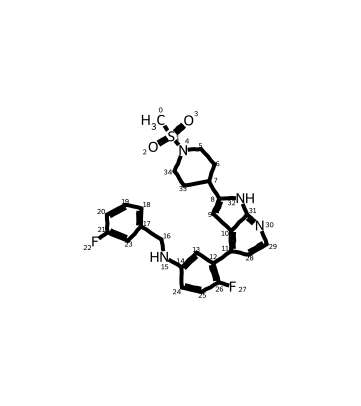 CS(=O)(=O)N1CCC(c2cc3c(-c4cc(NCc5cccc(F)c5)ccc4F)ccnc3[nH]2)CC1